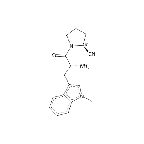 Cn1cc(CC(N)C(=O)N2CCC[C@H]2C#N)c2ccccc21